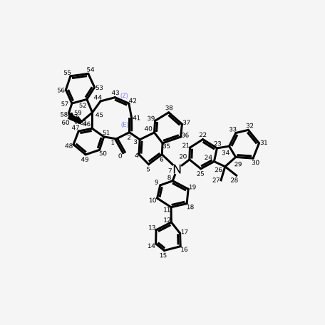 C=C1/C(c2ccc(N(c3ccc(-c4ccccc4)cc3)c3ccc4c(c3)C(C)(C)c3ccccc3-4)c3ccccc23)=C\C=C/CC2(c3ccccc31)c1ccccc1-c1ccccc12